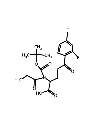 CCC(=O)N(C(=O)OC(C)(C)C)C(CCC(=O)c1ccc(F)cc1F)C(=O)O